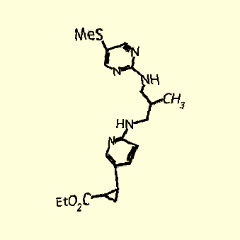 CCOC(=O)C1CC1c1ccc(NCC(C)CNc2ncc(SC)cn2)nc1